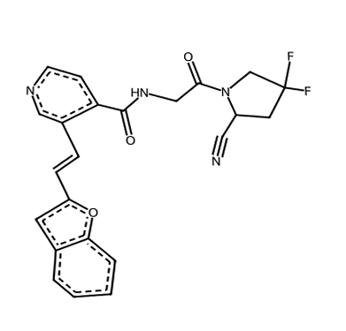 N#CC1CC(F)(F)CN1C(=O)CNC(=O)c1ccncc1/C=C/c1cc2ccccc2o1